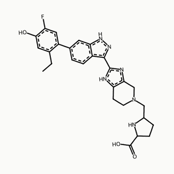 CCc1cc(O)c(F)cc1-c1ccc2c(-c3nc4c([nH]3)CCN(CC3CCC(C(=O)O)N3)C4)n[nH]c2c1